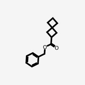 O=C(OCc1ccccc1)C1CC2(CCC2)C1